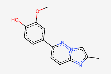 COc1cc(-c2ccc3nc(C)cn3n2)ccc1O